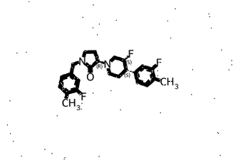 Cc1ccc(CN2CC[C@@H](N3CC[C@@H](c4ccc(C)c(F)c4)[C@H](F)C3)C2=O)cc1F